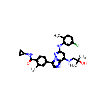 Cc1ccc(Cl)cc1Nc1cc(NCC(C)(C)O)c2ncc(-c3ccc(C(=O)NC4CC4)c(C)c3)n2n1